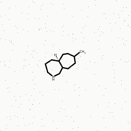 CC1CCC2CNCCC[C@H]2CC1